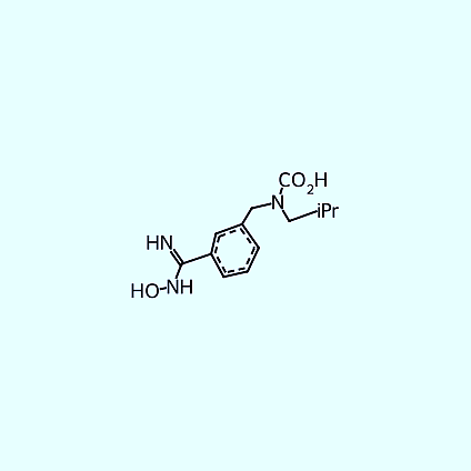 CC(C)CN(Cc1cccc(C(=N)NO)c1)C(=O)O